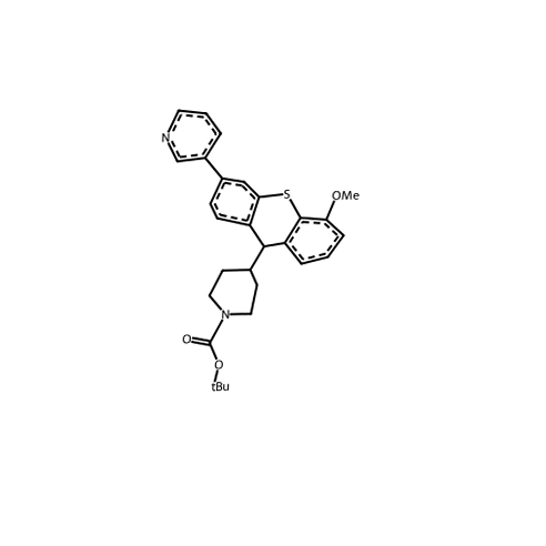 COc1cccc2c1Sc1cc(-c3cccnc3)ccc1C2C1CCN(C(=O)OC(C)(C)C)CC1